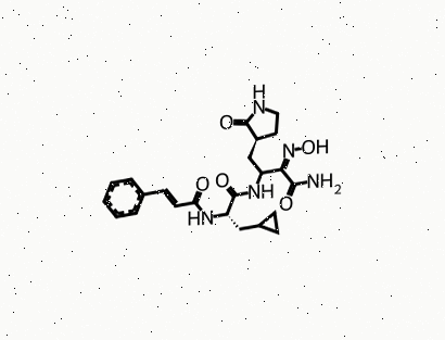 NC(=O)/C(=N\O)C(C[C@@H]1CCNC1=O)NC(=O)[C@H](CC1CC1)NC(=O)/C=C/c1ccccc1